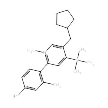 Cc1cc(C(C)C)ccc1-c1cc([Si](C)(C)C)c(CC2CCCC2)c[n+]1C